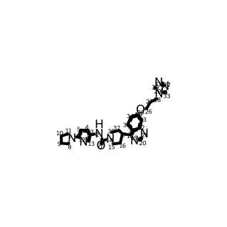 O=C(Nc1ccc(N2CCCC2)nc1)N1CCC(c2ncnc3cc(OCCCn4cnnc4)ccc23)CC1